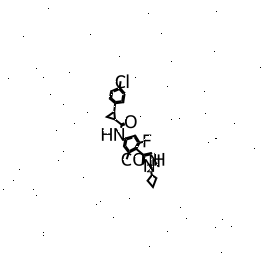 O=C(O)c1cc(NC(=O)C2CC2c2ccc(Cl)cc2)cc(F)c1-c1cnn(C2CCC2)c1